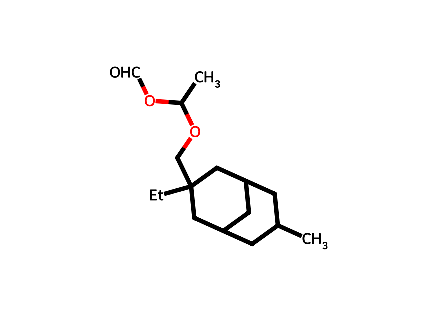 CCC1(COC(C)OC=O)CC2CC(C)CC(C2)C1